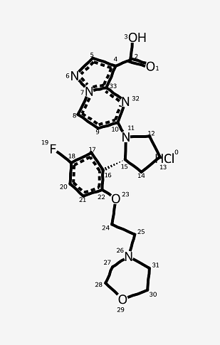 Cl.O=C(O)c1cnn2ccc(N3CCC[C@@H]3c3cc(F)ccc3OCCN3CCOCC3)nc12